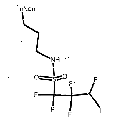 CCCCCCCCCCCCNS(=O)(=O)C(F)(F)C(F)(F)C(F)F